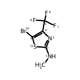 CNc1nc(C(F)(F)F)c(Br)s1